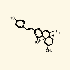 CC1=C[C@H]2c3c(O)cc(/C=C/c4ccc(O)cc4)cc3C=C(C)[C@@H]2CC1